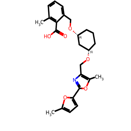 Cc1ccc(-c2nc(CO[C@H]3CCC[C@@H](OCc4cccc(C)c4C(=O)O)C3)c(C)o2)o1